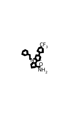 NC(=O)c1cccc2c1c1[c]cc(-c3ccc(C(F)(F)F)cc3)cc1n2CCc1ccccc1